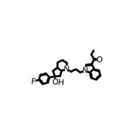 CCC(=O)c1cn(CCCN2CCCC3CC(O)(c4ccc(F)cc4)CC32)c2ccccc12